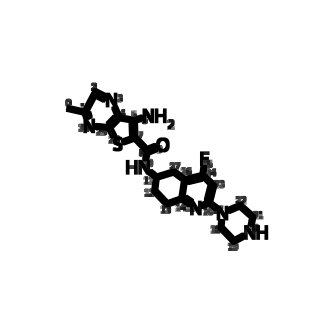 Cc1cnc2c(N)c(C(=O)NC3CCc4nc(N5CCNCC5)cc(F)c4C3)sc2n1